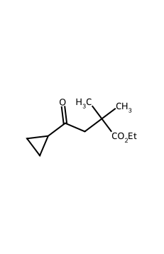 CCOC(=O)C(C)(C)CC(=O)C1CC1